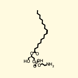 CCCCCCCC/C=C\CCCCCCCC(=O)O[C@H](CO)COP(=O)(O)OCCN